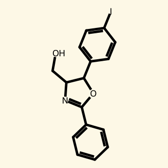 OCC1N=C(c2ccccc2)OC1c1ccc(I)cc1